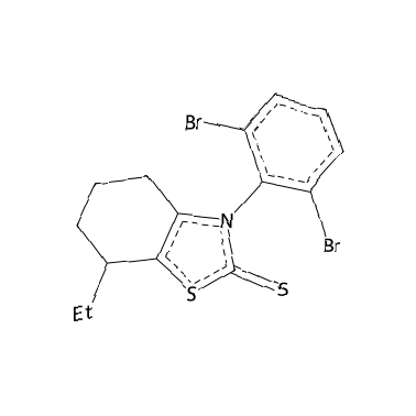 CCC1CCCc2c1sc(=S)n2-c1c(Br)cccc1Br